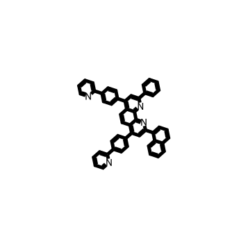 c1ccc(-c2cc(-c3ccc(-c4ccccn4)cc3)c3ccc4c(-c5ccc(-c6ccccn6)cc5)cc(-c5cccc6ccccc56)nc4c3n2)cc1